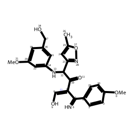 COc1ccc(C(=N)/C(=C\O)C(=O)C(Nc2cc(CO)cc(OC)c2)c2cc(C)on2)cc1